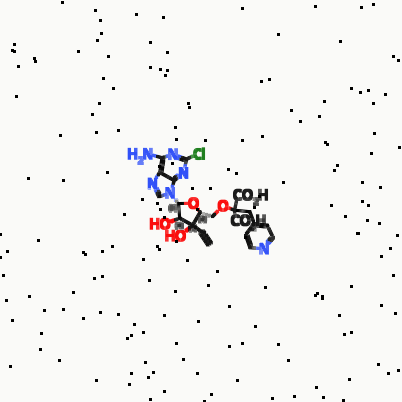 C#C[C@@]1(O)[C@@H](COC(Cc2ccncc2)(C(=O)O)C(=O)O)O[C@@H](n2cnc3c(N)nc(Cl)nc32)[C@@H]1O